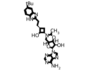 CC1O[C@H]2[C@@H](O)[C@H](n3cnc4c(N)ncnc43)O[C@@H]2CN1[C@H]1C[C@H](CCc2nc3cc(C(C)(C)C)ccc3[nH]2)C1O